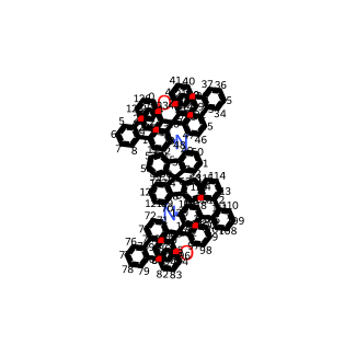 c1ccc(-c2ccccc2-c2ccc3c(c2)C2(c4ccccc4Oc4ccccc42)c2cc(-c4ccccc4-c4ccccc4)ccc2N3c2cccc3c2-c2ccccc2C32c3ccccc3-c3c(N4c5ccc(-c6ccccc6-c6ccccc6)cc5C5(c6ccccc6Oc6ccccc65)c5cc(-c6ccccc6-c6ccccc6)ccc54)cccc32)cc1